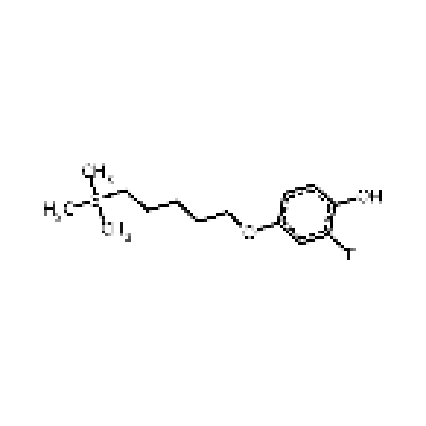 C[Si](C)(C)CCCCCOc1ccc(O)c(F)c1